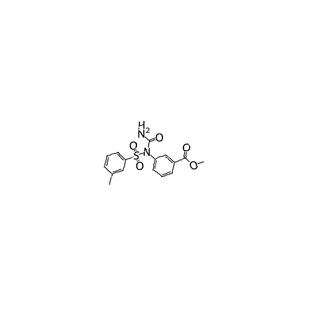 COC(=O)c1cccc(N(C(N)=O)S(=O)(=O)c2cccc(C)c2)c1